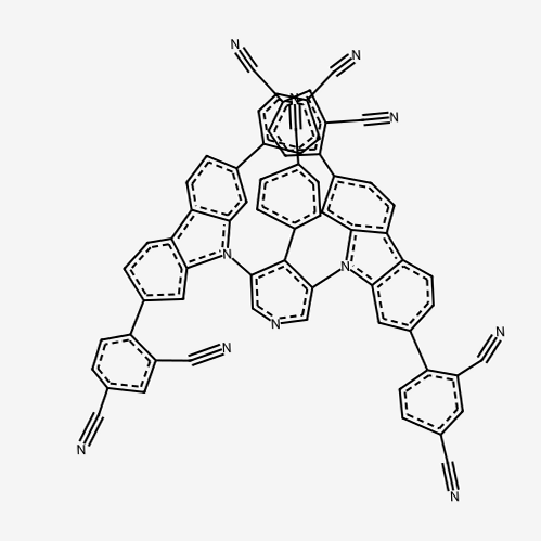 N#Cc1ccc(-c2ccc3c4ccc(-c5ccc(C#N)cc5C#N)cc4n(-c4cncc(-n5c6cc(-c7ccc(C#N)cc7C#N)ccc6c6ccc(-c7ccc(C#N)cc7C#N)cc65)c4-c4ccc(C#N)cc4)c3c2)cc1